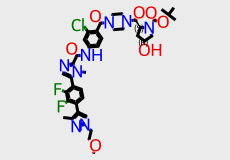 COCCn1cc(-c2ccc(-c3cnc(C(=O)Nc4ccc(C(=O)N5CCN(C(=O)[C@@H]6C[C@@H](O)CN6C(=O)OC(C)(C)C)CC5)c(Cl)c4)n3C)c(F)c2F)c(C)n1